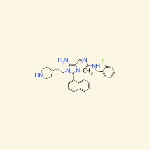 C=C(/N=C\c1nc(-c2cccc3ccccc23)n(CCC2CCNCC2)c1N)NCc1ccccc1F